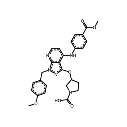 COC(=O)c1ccc(Nc2ccnc3c2c(OC2CCN(C(=O)O)C2)nn3Cc2ccc(OC)cc2)cc1